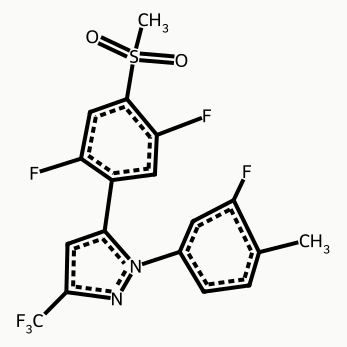 Cc1ccc(-n2nc(C(F)(F)F)cc2-c2cc(F)c(S(C)(=O)=O)cc2F)cc1F